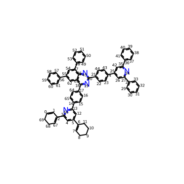 C1=CC(c2cc(C3=CCCCC3)cc(-c3ccc(-c4nc(-c5ccc(-c6cc(-c7ccccc7)nc(-c7ccccc7)c6)cc5)nc5c(-c6ccccc6)cc(-c6ccccc6)cc45)cc3)n2)=CCC1